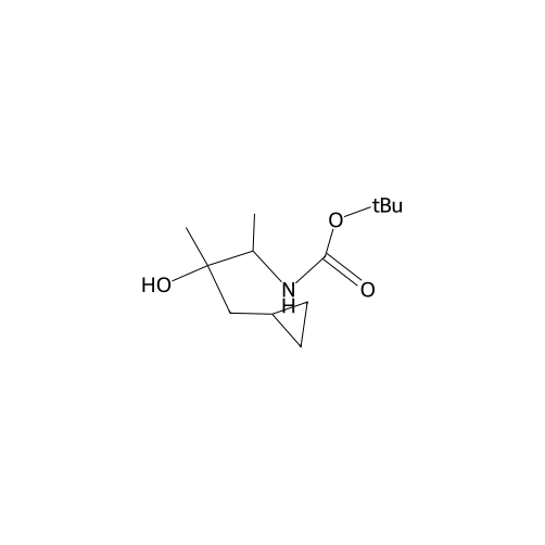 CC(NC(=O)OC(C)(C)C)C(C)(O)CC1CC1